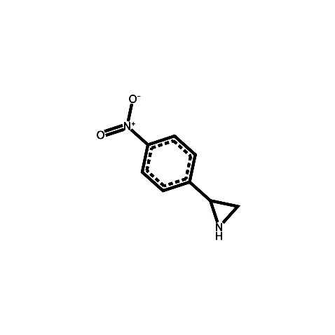 O=[N+]([O-])c1ccc(C2CN2)cc1